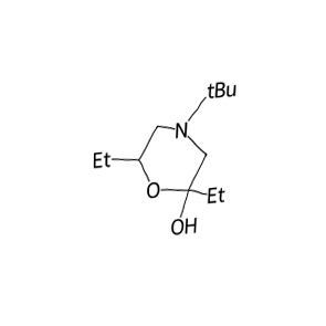 CCC1CN(C(C)(C)C)CC(O)(CC)O1